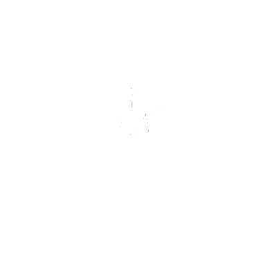 CC(=O)Cl.Cc1cc(CC(=O)O)ccc1[N+](=O)[O-]